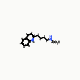 O=C(O)NCCCCc1ccc2ccccc2n1